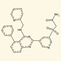 NC(=O)CS(=O)(=O)c1cncc(-c2nc(NCc3ccccn3)c3c(-c4ccccc4)cccc3n2)c1